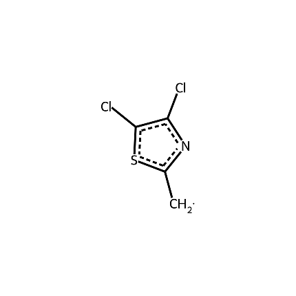 [CH2]c1nc(Cl)c(Cl)s1